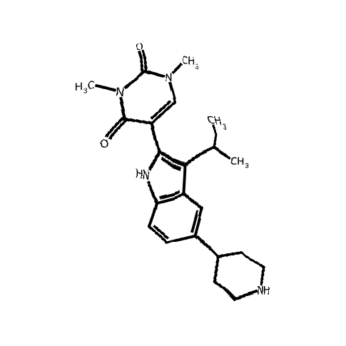 CC(C)c1c(-c2cn(C)c(=O)n(C)c2=O)[nH]c2ccc(C3CCNCC3)cc12